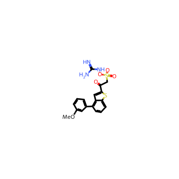 COc1cccc(-c2cccc3sc(C(=O)CS(=O)(=O)ONC(=N)N)cc23)c1